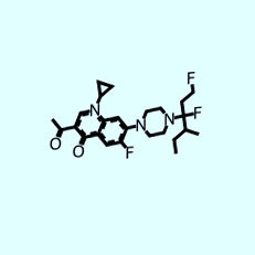 CCC(C)C(F)(CCF)N1CCN(c2cc3c(cc2F)c(=O)c(C(C)=O)cn3C2CC2)CC1